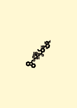 CCc1cc(Nc2nccn3c(I)cnc23)ccc1C(=O)NC[C@@H](NC(=O)OCC1c2ccccc2-c2ccccc21)C(=O)O